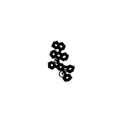 O=P1(c2ccccc2)c2ccccc2-c2cc3c(cc21)c1ccccc1n3-c1c2ccccc2c(-c2cccc3ccccc23)c2ccccc12